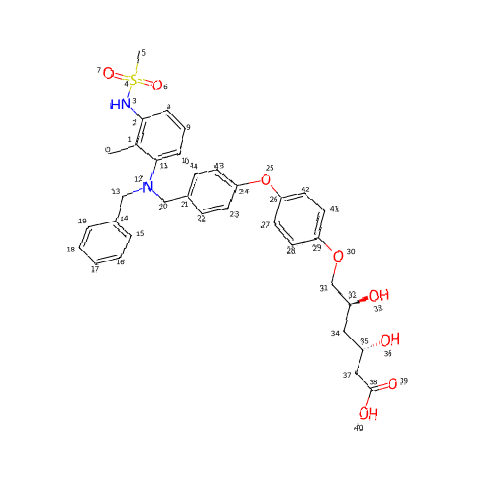 Cc1c(NS(C)(=O)=O)cccc1N(Cc1ccccc1)Cc1ccc(Oc2ccc(OC[C@@H](O)C[C@H](O)CC(=O)O)cc2)cc1